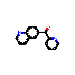 O=C(c1ccc2ncccc2c1)c1ccccn1